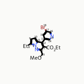 CCOC(=O)c1c(COC)nn2c(CC)ccc2c1-c1cncc(Br)c1